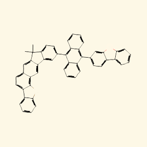 CC1(C)c2ccc(-c3c4ccccc4c(-c4ccc5c(c4)oc4ccccc45)c4ccccc34)cc2-c2cc3c(ccc4c5ccccc5sc34)cc21